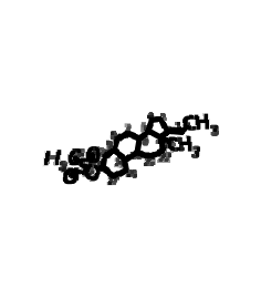 CC=C1CCC2C3CCC4CC(OS(C)(=O)=O)CCC4C3CCC12C